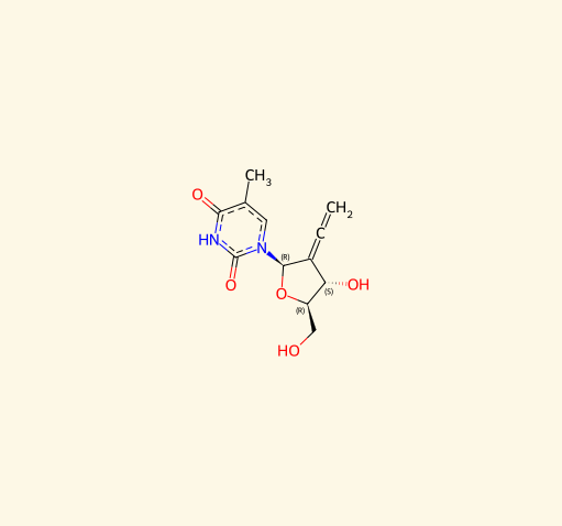 C=C=C1[C@H](n2cc(C)c(=O)[nH]c2=O)O[C@H](CO)[C@H]1O